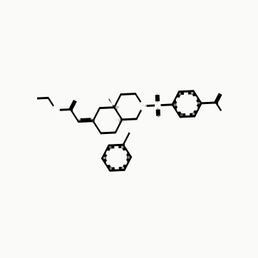 C=C(C)c1ccc(S(=O)(=O)N2CC[C@H]3CC(=CC(=O)OCC)CC[C@]3(Cc3ccccc3)C2)cc1